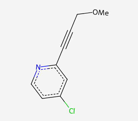 COCC#Cc1cc(Cl)ccn1